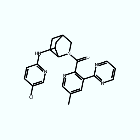 Cc1cnc(C(=O)N2CC3CCC2C(Nc2ccc(Cl)cn2)C3)c(-c2ncccn2)c1